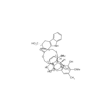 COc1c(C)cc2c(c1O)[C@H]1[C@@H]3[C@@H]4SC[C@]5(N[C@H](C(=O)O)Cc6c5[nH]c5ccccc65)C(=O)OC[C@@H](c5c6c(c(C)c(OC(C)=O)c54)OCO6)N3C(O)(C2)CN1C